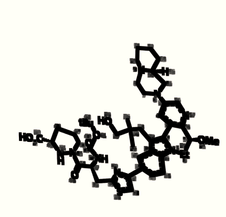 CCn1c(-c2cc(N3CCN4CCCC[C@@H]4C3)cnc2[C@H](C)OC)c(CC(C)(C)CO)c2cc(-c3csc(C[C@H](NC(=O)OC(C)(C)C)C(=O)N4CCC[C@@H](C(=O)O)N4)n3)ccc21